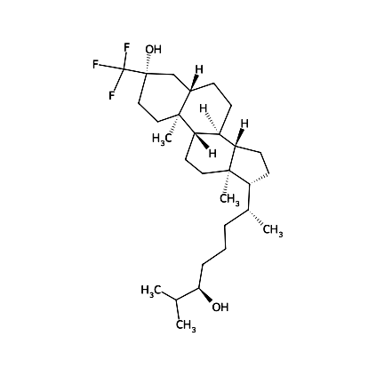 CC(C)[C@H](O)CCC[C@@H](C)[C@H]1CC[C@H]2[C@@H]3CC[C@H]4C[C@](O)(C(F)(F)F)CC[C@]4(C)[C@H]3CC[C@]12C